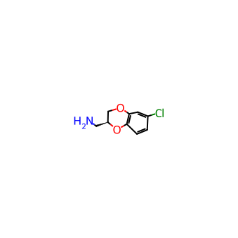 NC[C@H]1COc2cc(Cl)ccc2O1